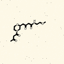 COCCNC(=O)CC(=O)CC1CN(C(=O)CC(C)=O)CCO1